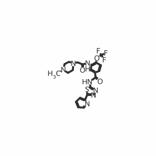 CN1CCN(CC(=O)Nc2cc(C(=O)Nc3nnc(-c4ccccn4)s3)ccc2OC(F)(F)F)CC1